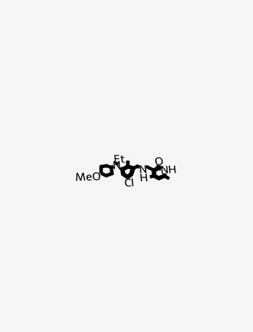 CCN(c1cc(Cl)cc(CNCc2c(C)cc(C)[nH]c2=O)c1C)C1CCC(OC)CC1